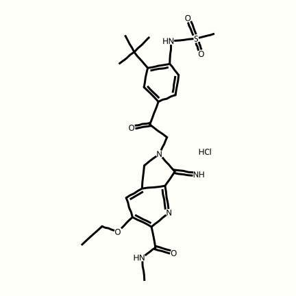 CCOc1cc2c(nc1C(=O)NC)C(=N)N(CC(=O)c1ccc(NS(C)(=O)=O)c(C(C)(C)C)c1)C2.Cl